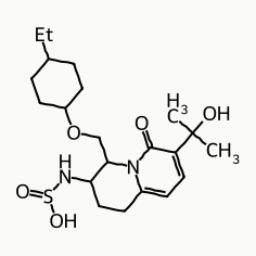 CCC1CCC(OCC2C(NS(=O)O)CCc3ccc(C(C)(C)O)c(=O)n32)CC1